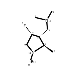 C[C@@H]1[C@@H](CN(C)C)[C@@H](F)CN1C(C)(C)C